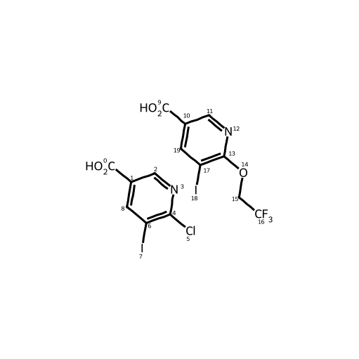 O=C(O)c1cnc(Cl)c(I)c1.O=C(O)c1cnc(OCC(F)(F)F)c(I)c1